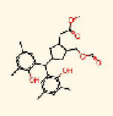 COC(=O)CC1CC(C(c2cc(C)cc(C)c2O)c2cc(C)cc(C)c2O)CC1COC=O